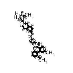 COc1ccccc1-c1cc(C)ncc1C(=O)Nc1nnc(OCc2ccc3c(n2)CCN(C(=O)OC(C)(C)C)C3)s1